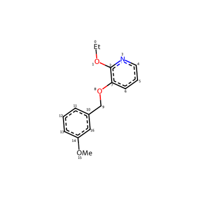 CCOc1ncccc1OCc1cccc(OC)c1